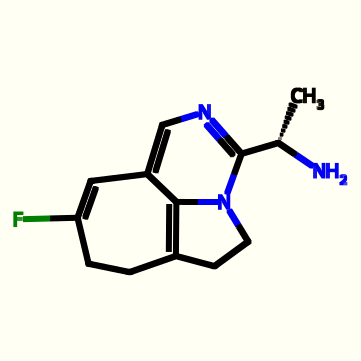 C[C@H](N)C1=NC=C2C=C(F)CCC3=C2N1CC3